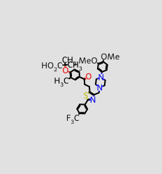 COc1ccc(N2CCN(Cc3nc(-c4ccc(C(F)(F)F)cc4)sc3CCC(=O)c3ccc(OC(C)(C)C(=O)O)c(C)c3)CC2)cc1OC